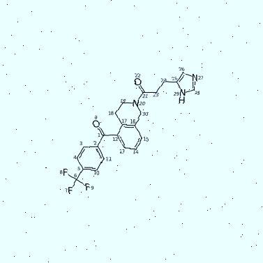 O=C(c1ccc(C(F)(F)F)cc1)c1cccc2c1CCN(C(=O)CCc1cnc[nH]1)C2